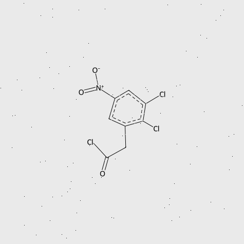 O=C(Cl)Cc1cc([N+](=O)[O-])cc(Cl)c1Cl